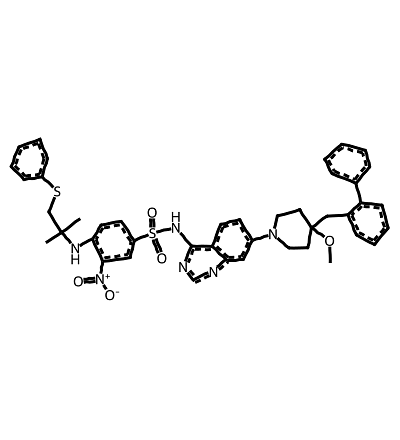 COC1(Cc2ccccc2-c2ccccc2)CCN(c2ccc3c(NS(=O)(=O)c4ccc(NC(C)(C)CSc5ccccc5)c([N+](=O)[O-])c4)ncnc3c2)CC1